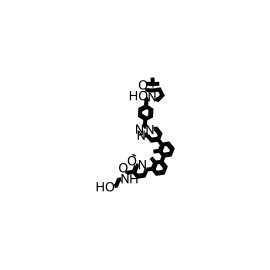 COc1nc(-c2cccc(-c3cccc(-c4ccn5c(-c6ccc(CN7CCC[C@@]7(C(=O)O)C(C)(C)C)cc6)nnc5c4)c3C)c2C)ccc1C(=O)NCCO